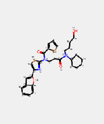 O=C(c1cccs1)N(CCC(=O)N(CCCCO)C1CCCCC1)c1nc(-c2cc3ccccc3o2)cs1